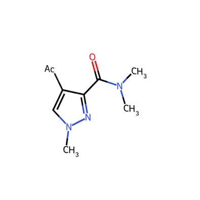 CC(=O)c1cn(C)nc1C(=O)N(C)C